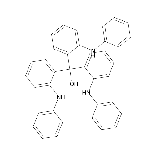 OC(c1ccccc1Nc1ccccc1)(c1ccccc1Nc1ccccc1)c1ccccc1Nc1ccccc1